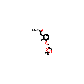 COC(=O)Cc1cccc(OC[C@@H]2COC(C)(C)O2)c1C